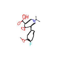 COc1cc(-c2cn(C(C)C)cc(C(=O)O)c2=O)ccc1F